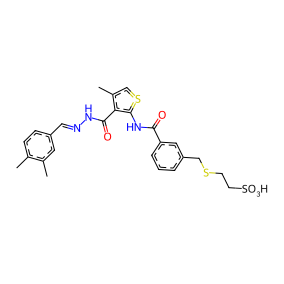 Cc1ccc(C=NNC(=O)c2c(C)csc2NC(=O)c2cccc(CSCCS(=O)(=O)O)c2)cc1C